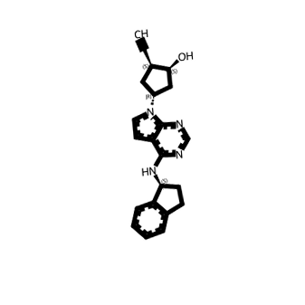 C#C[C@@H]1C[C@@H](n2ccc3c(N[C@H]4CCc5ccccc54)ncnc32)C[C@@H]1O